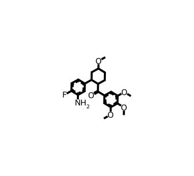 COc1cc(C(=O)C2CCC(OC)CC2c2ccc(F)c(N)c2)cc(OC)c1OC